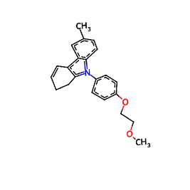 COCCOc1ccc(-n2c3c(c4cc(C)ccc42)C=CCC3)cc1